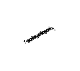 COC(=O)C1CCC(C(=O)Oc2ccc(OC(=O)C3CCC(C(=O)Oc4ccc(OC(=O)C5CCC(C(=O)OC)CC5)cc4)CC3)cc2)CC1